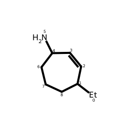 CCC1C=CC(N)CCC1